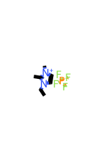 CCn1cc[n+](C)c1C.F[P-](F)(F)F